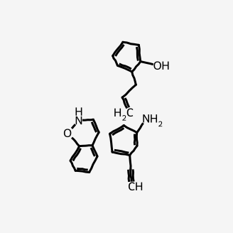 C#Cc1cccc(N)c1.C1=Cc2ccccc2ON1.C=CCc1ccccc1O